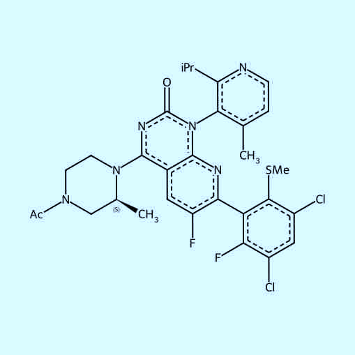 CSc1c(Cl)cc(Cl)c(F)c1-c1nc2c(cc1F)c(N1CCN(C(C)=O)C[C@@H]1C)nc(=O)n2-c1c(C)ccnc1C(C)C